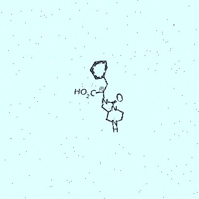 O=C(O)[C@@H](Cc1ccccc1)N1CC2CNCCN2C1=O